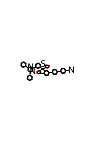 N#Cc1ccc(-c2ccc(-c3ccc4c(c3)C3(c5ccccc5Sc5ccc(-c6nc(-c7ccccc7)cc(-c7ccccc7)n6)cc53)c3ccccc3-4)cc2)cc1